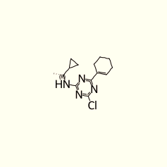 C[C@@H](Nc1nc(Cl)nc(C2=CCCCC2)n1)C1CC1